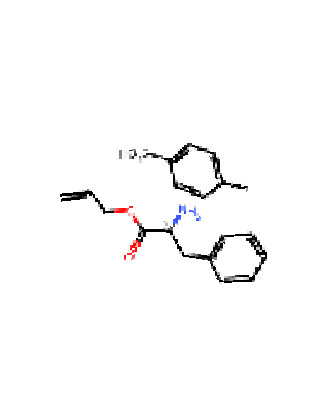 C=CCOC(=O)[C@@H](N)Cc1ccccc1.Cc1ccc(S(=O)(=O)O)cc1